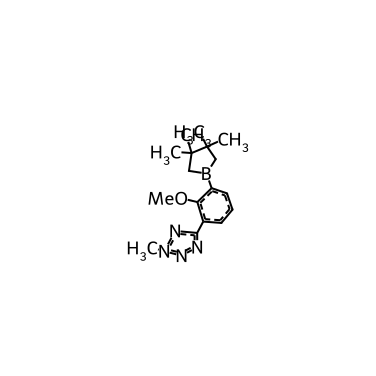 COc1c(B2CC(C)(C)C(C)(C)C2)cccc1-c1nnn(C)n1